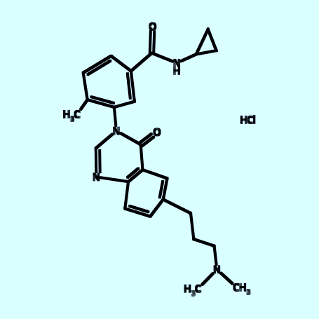 Cc1ccc(C(=O)NC2CC2)cc1-n1cnc2ccc(CCCN(C)C)cc2c1=O.Cl